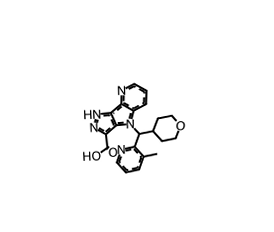 Cc1cccnc1C(C1CCOCC1)n1c2cccnc2c2[nH]nc(C(=O)O)c21